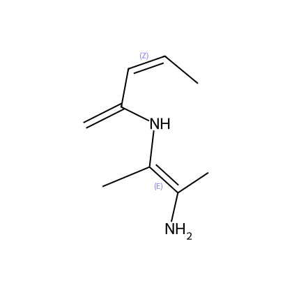 C=C(/C=C\C)N/C(C)=C(\C)N